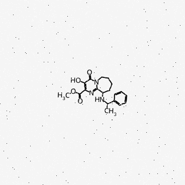 COC(=O)c1nc2n(c(=O)c1O)CCCCC2N[C@H](C)c1ccccc1